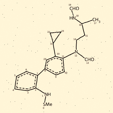 CSNc1ccccc1-c1ccc(N(C=O)CCC(C)NC=O)c(C2CC2)c1